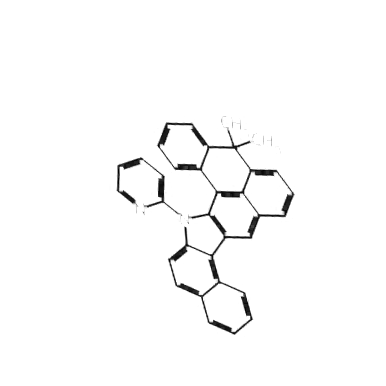 CC1(C)c2ccccc2-c2c3c1cccc3cc1c3c4ccccc4ccc3n(-c3ccccn3)c21